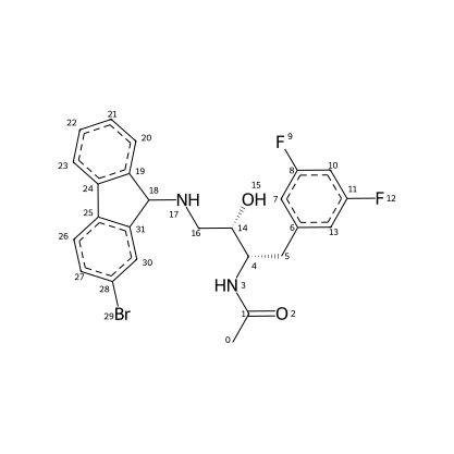 CC(=O)N[C@@H](Cc1cc(F)cc(F)c1)[C@@H](O)CNC1c2ccccc2-c2ccc(Br)cc21